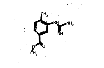 COC(=O)c1ccc(C)c(NC(=N)N)c1